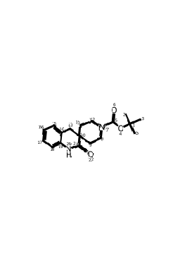 CC(C)(C)OC(=O)N1CCC2(CC1)Cc1ccccc1NC2=O